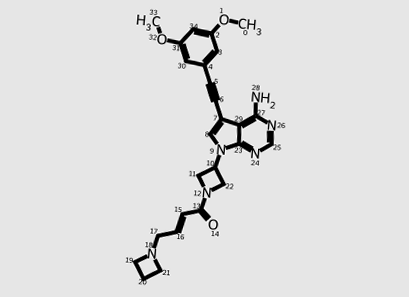 COc1cc(C#Cc2cn(C3CN(C(=O)C=CCN4CCC4)C3)c3ncnc(N)c23)cc(OC)c1